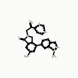 C=C(CN1Cc2c(cc(N)cc2-c2ccc3cnn(C)c3c2)C1=O)c1ccncn1